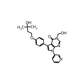 CC(C)(O)CCOc1ccc(-c2cn(-c3cccnc3)c3ncn(CO)c(=O)c23)cc1